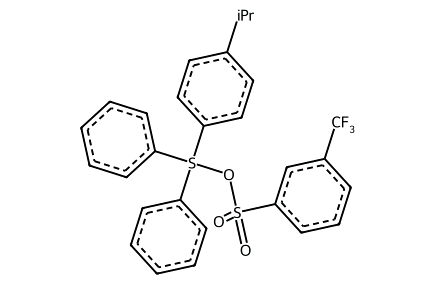 CC(C)c1ccc(S(OS(=O)(=O)c2cccc(C(F)(F)F)c2)(c2ccccc2)c2ccccc2)cc1